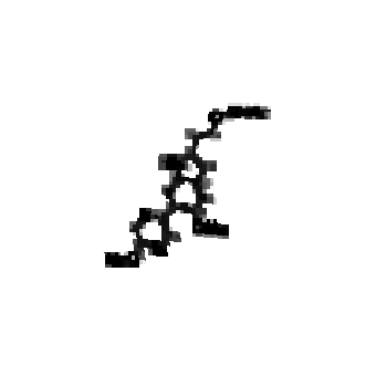 COc1cnc(-c2cc3[nH]c(CCONC(C)=O)cc3cc2OC)cn1